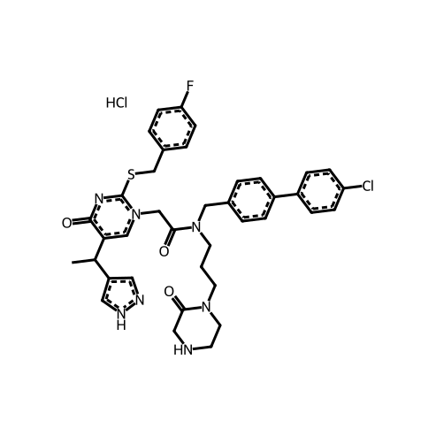 CC(c1cn[nH]c1)c1cn(CC(=O)N(CCCN2CCNCC2=O)Cc2ccc(-c3ccc(Cl)cc3)cc2)c(SCc2ccc(F)cc2)nc1=O.Cl